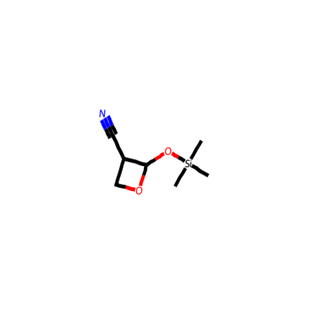 C[Si](C)(C)OC1OCC1C#N